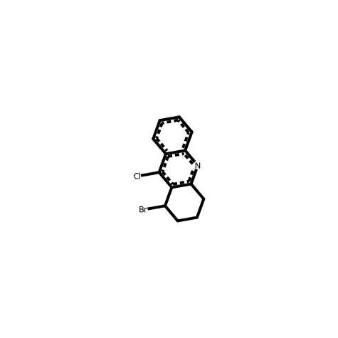 Clc1c2c(nc3ccccc13)CCCC2Br